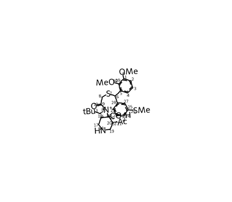 COc1cccc(C2SCC(=O)[N@@+](CC(C)(C)C)([C@@]3(C(=O)O)CCNC[C@@H]3C(C)=O)c3ccc(SC)cc32)c1OC